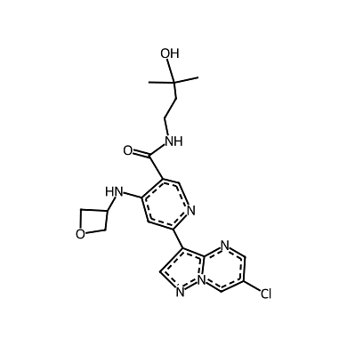 CC(C)(O)CCNC(=O)c1cnc(-c2cnn3cc(Cl)cnc23)cc1NC1COC1